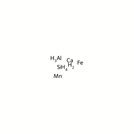 [AlH3].[CaH2].[Fe].[Mn].[SiH4]